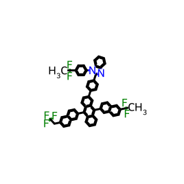 CC(F)(F)c1ccc(-n2c(-c3ccc(-c4ccc5c(-c6ccc7cc(CC(F)(F)F)ccc7c6)c6ccccc6c(-c6ccc7cc(C(C)(F)F)ccc7c6)c5c4)cc3)nc3ccccc32)cc1